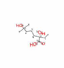 CC[C@](O)(CCCC(C)(C)O)C(=O)O